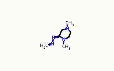 C=N/N=C1/CN(C)CCN1C